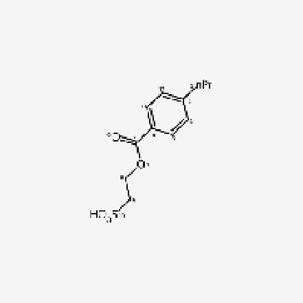 CCCc1ccc(C(=O)OCCS(=O)(=O)O)cc1